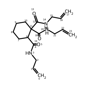 C=CCNC(=O)C1CCCCC1(C(=O)NCC=C)C(=O)NCC=C